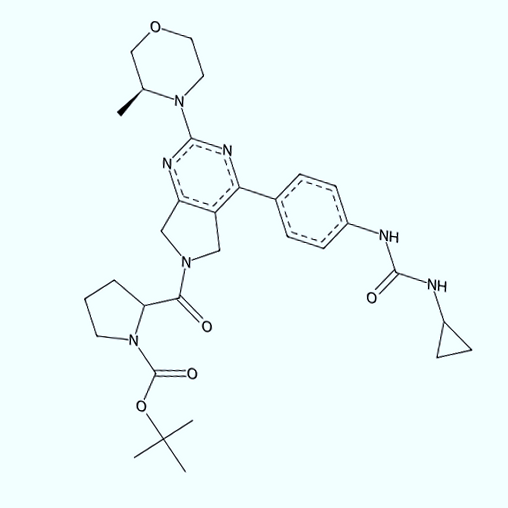 C[C@H]1COCCN1c1nc2c(c(-c3ccc(NC(=O)NC4CC4)cc3)n1)CN(C(=O)C1CCCN1C(=O)OC(C)(C)C)C2